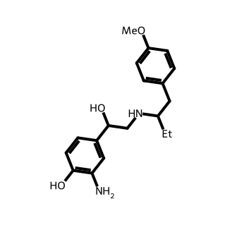 CCC(Cc1ccc(OC)cc1)NCC(O)c1ccc(O)c(N)c1